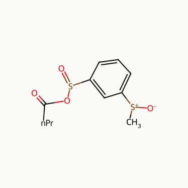 CCCC(=O)OS(=O)c1cccc([S+](C)[O-])c1